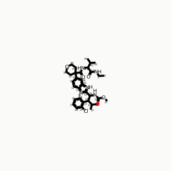 CCNC(=O)C(NC(=O)C1(c2ccc3nc(C(NC(=O)OC)C(c4c(F)cccc4Cl)C(C)C)[nH]c3c2)CCOCC1)C(C)C